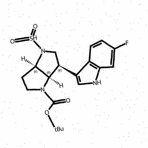 CC(C)(C)OC(=O)N1CC[C@@H]2[C@H]1[C@H](c1c[nH]c3cc(F)ccc13)CN2[SH](=O)=O